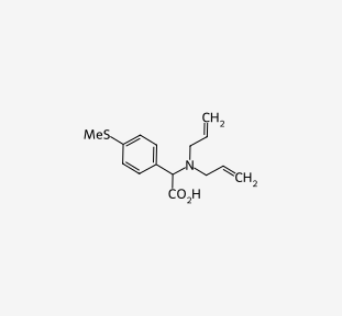 C=CCN(CC=C)C(C(=O)O)c1ccc(SC)cc1